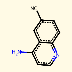 N#Cc1ccc2nccc(N)c2c1